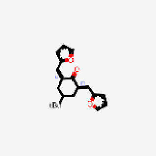 CC(C)(C)C1C/C(=C/c2ccco2)C(=O)/C(=C/c2ccco2)C1